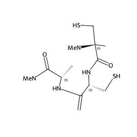 C=C(N[C@@H](C)C(=O)NC)[C@@H](CS)NC(=O)[C@@](C)(CS)NC